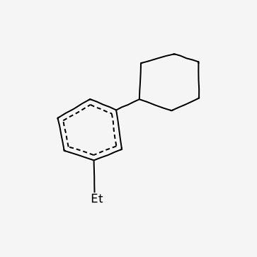 CCc1cccc(C2CCCCC2)c1